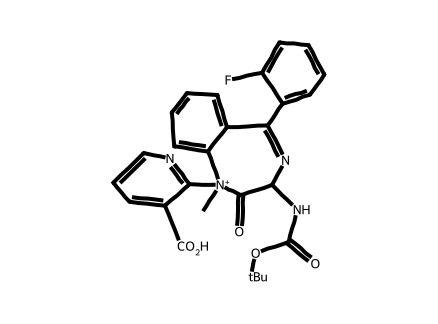 CC(C)(C)OC(=O)NC1N=C(c2ccccc2F)c2ccccc2[N+](C)(c2ncccc2C(=O)O)C1=O